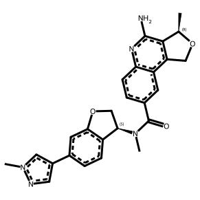 C[C@H]1OCc2c1c(N)nc1ccc(C(=O)N(C)[C@@H]3COc4cc(-c5cnn(C)c5)ccc43)cc21